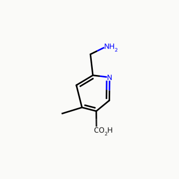 Cc1cc(CN)ncc1C(=O)O